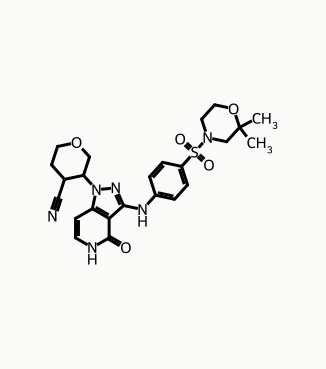 CC1(C)CN(S(=O)(=O)c2ccc(Nc3nn(C4COCCC4C#N)c4cc[nH]c(=O)c34)cc2)CCO1